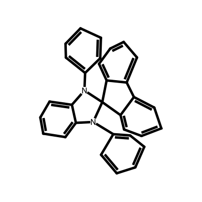 c1ccc(N2c3ccccc3N(c3ccccc3)C23c2ccccc2-c2ccccc23)cc1